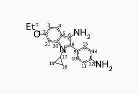 CCOc1ccc2c(N)c(-c3ccc(N)cc3)n(C3CC3)c2c1